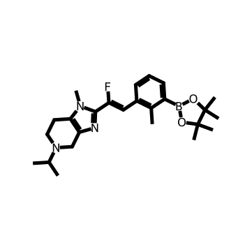 Cc1c(C=C(F)c2nc3c(n2C)CCN(C(C)C)C3)cccc1B1OC(C)(C)C(C)(C)O1